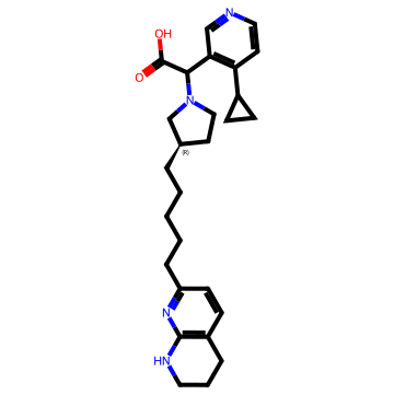 O=C(O)C(c1cnccc1C1CC1)N1CC[C@@H](CCCCCc2ccc3c(n2)NCCC3)C1